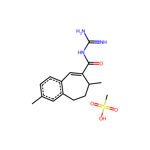 CS(=O)(=O)O.Cc1ccc2c(c1)CCC(C)C(C(=O)NC(=N)N)=C2